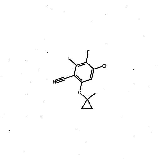 CC1(Oc2cc(Cl)c(F)c(I)c2C#N)CC1